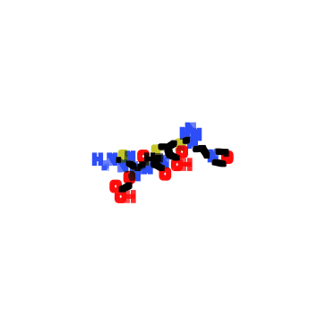 Nc1nc(C(=NOCC(=O)O)C(=O)NC2C(=O)N3C(C(=O)O)=C(CSc4nnnn4CCCN4CCOCC4)CS[C@@H]23)ns1